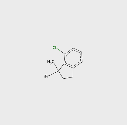 CC(C)C1(C)CCc2cccc(Cl)c21